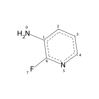 Nc1cc[c]nc1F